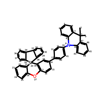 CC1(C)c2ccccc2N(c2ccc(-c3ccc4c(c3)[Si]3(c5ccccc5O4)c4ccccc4-c4ccccc43)cc2)c2ccccc21